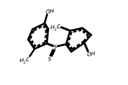 [CH2]c1ccc(O)cc1S(=S)c1cc(O)ccc1[CH2]